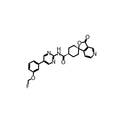 O=C1O[C@]2(CC[C@H](C(=O)Nc3ncc(-c4cccc(OCF)c4)cn3)CC2)c2ccncc21